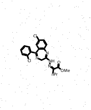 CCCC(=NNC1=Nc2ccc(Cl)cc2C(c2ccccc2Cl)=NC1)C(=O)OC